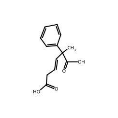 CC(/C=C/CC(=O)O)(C(=O)O)c1ccccc1